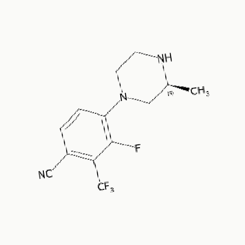 C[C@H]1CN(c2ccc(C#N)c(C(F)(F)F)c2F)CCN1